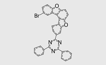 Brc1ccc2oc3ccc4oc5cc(-c6nc(-c7ccccc7)nc(-c7ccccc7)n6)ccc5c4c3c2c1